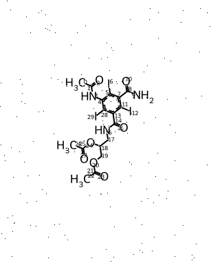 CC(=O)Nc1c(I)c(C(N)=O)c(I)c(C(=O)NCC(COC(C)=O)OC(C)=O)c1I